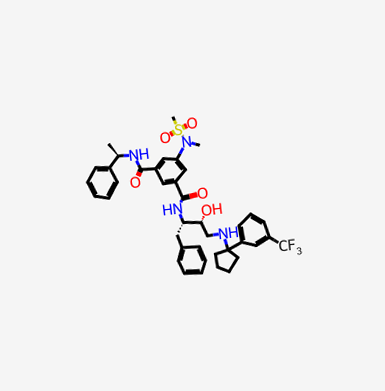 C[C@@H](NC(=O)c1cc(C(=O)N[C@@H](Cc2ccccc2)[C@H](O)CNC2(c3cccc(C(F)(F)F)c3)CCCC2)cc(N(C)S(C)(=O)=O)c1)c1ccccc1